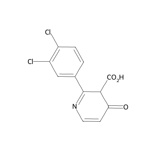 O=C(O)C1C(=O)C=CN=C1c1ccc(Cl)c(Cl)c1